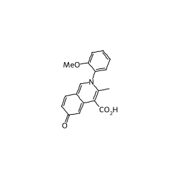 COc1ccccc1-n1cc2ccc(=O)cc-2c(C(=O)O)c1C